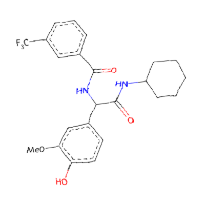 COc1cc(C(NC(=O)c2cccc(C(F)(F)F)c2)C(=O)NC2CCCCC2)ccc1O